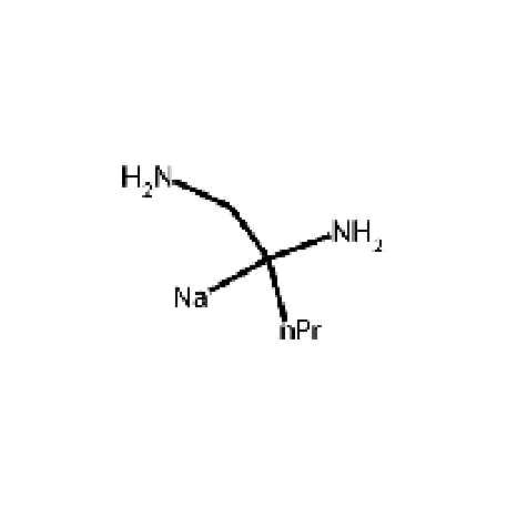 CCC[C](N)([Na])CN